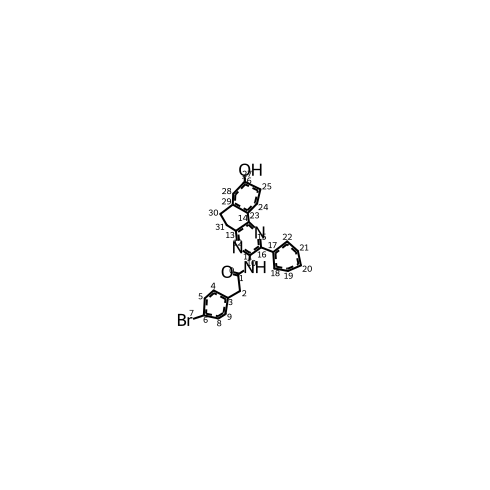 O=C(Cc1ccc(Br)cc1)Nc1nc2c(nc1-c1ccccc1)-c1ccc(O)cc1CC2